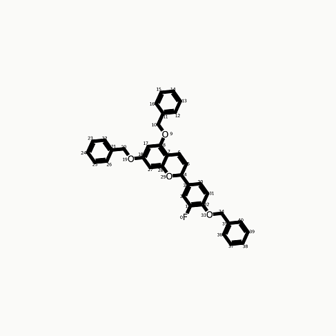 Fc1cc(C2C=Cc3c(OCc4ccccc4)cc(OCc4ccccc4)cc3O2)ccc1OCc1ccccc1